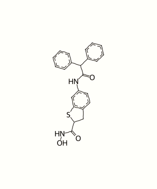 O=C(NO)C1Cc2ccc(NC(=O)C(c3ccccc3)c3ccccc3)cc2S1